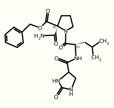 CC(C)C[C@H](NC(=O)C1CNC(=O)N1)C(=O)N1CCC[C@]1(C(N)=O)C(=O)OCc1ccccc1